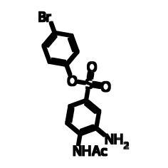 CC(=O)Nc1ccc(S(=O)(=O)Oc2ccc(Br)cc2)cc1N